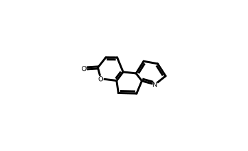 O=c1ccc2c(ccc3ncccc32)o1